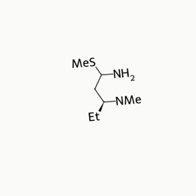 CC[C@@H](CC(N)SC)NC